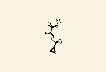 CCSC(=O)C(F)=COC(=O)C1CC1